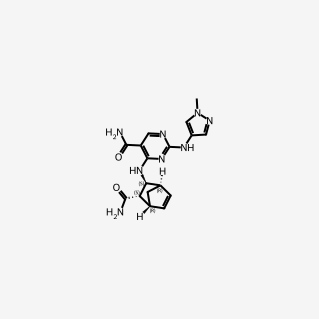 Cn1cc(Nc2ncc(C(N)=O)c(N[C@@H]3[C@@H](C(N)=O)[C@H]4C=C[C@H]3C4)n2)cn1